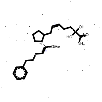 CO/C(=C/CCCc1ccccc1)[C@@H]1CCCC1C/C=C\CCC(O)(O)C(N)=O